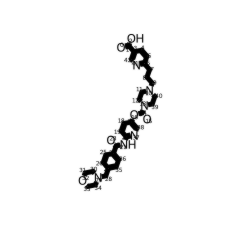 O=C(O)c1ccc(CCCN2CCN(C(=O)Oc3ccc(NC(=O)c4ccc(CN5CCOCC5)cc4)nc3)CC2)nc1